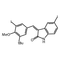 COc1c(I)cc(C=C2C(=O)Nc3ccc(I)cc32)cc1C(C)(C)C